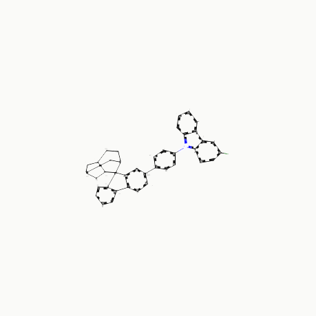 Clc1ccc2c(c1)c1ccccc1n2-c1ccc(-c2ccc3c(c2)C2(c4ccccc4-3)C3CCC4CC(C3)CC42)cc1